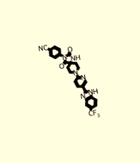 N#Cc1ccc(N2C(=O)NC3(CCN(c4ccc(-c5nc6cc(C(F)(F)F)ccc6[nH]5)cn4)CC3)C2=O)cc1